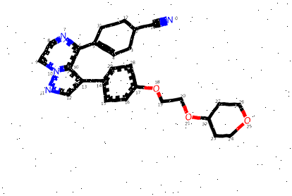 N#CC1CC=C(c2nccn3ncc(-c4ccc(OCCOC5CCOCC5)cc4)c23)CC1